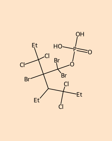 CCC(C(Cl)(Cl)CC)C(Br)(C(Cl)(Cl)CC)C(Br)(Br)OP(=O)(O)O